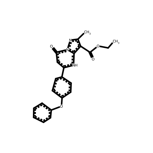 CCOC(=O)c1c(C)nn2c(=O)cc(-c3ccc(Oc4ccccc4)cc3)[nH]c12